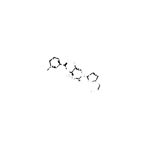 Cc1cccc(C(=O)Nc2nc(=O)n([C@H]3C=C[C@@H](CO)O3)cc2F)c1